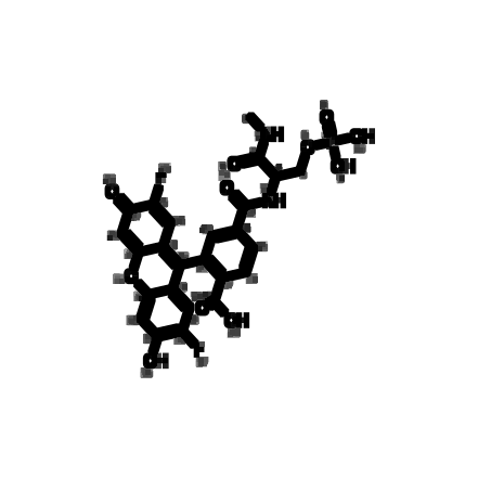 CNC(=O)C(COP(=O)(O)O)NC(=O)c1ccc(C(=O)O)c(-c2c3cc(F)c(=O)cc-3oc3cc(O)c(F)cc23)c1